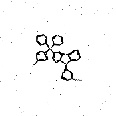 COc1cccc(-n2c3ccccc3c3cc([Si](c4ccccc4)(c4ccccc4)c4ccc(C)cc4)ccc32)c1